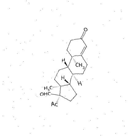 CC(=O)[C@@]1(C=O)CC[C@H]2[C@@H]3CCC4=CC(=O)CC[C@]4(C)[C@H]3CC[C@@]21C